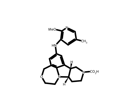 COc1ncc(C)cc1Nc1cc2c3c(c1)[C@@H]1CN(C(=O)O)CC[C@@H]1N3CCOC2